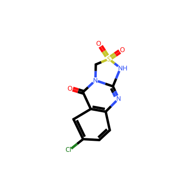 O=c1c2cc(Cl)ccc2nc2n1CS(=O)(=O)N2